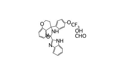 O=C(NC1(c2ccc(OC(F)(F)F)cc2)CCOc2cccnc21)c1nc2ccccc2[nH]1.O=CO